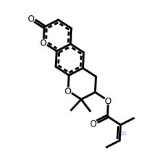 C/C=C(/C)C(=O)OC1Cc2cc3ccc(=O)oc3cc2OC1(C)C